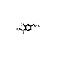 CC(=O)OCc1ccc(NN)c(Cl)c1